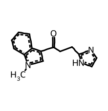 Cn1cc(C(=O)CCc2ncc[nH]2)c2ccccc21